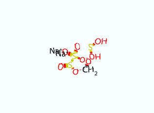 C=O.O=S([O-])S(=O)(=O)[O-].OSO.[Na+].[Na+]